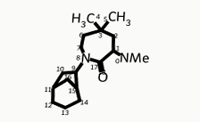 CNC1CC(C)(C)CCN(C2CC3CCCC2C3)C1=O